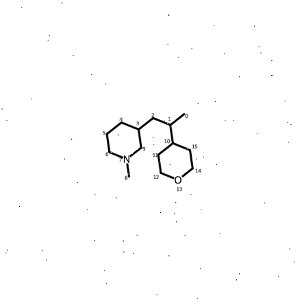 CC(CC1CCCN(C)C1)C1CCOCC1